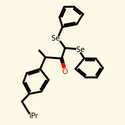 CC(C)Cc1ccc(C(C)C(=O)C([Se]c2ccccc2)[Se]c2ccccc2)cc1